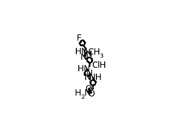 Cl.Cn1c(NCc2ccc(F)cc2)nc2cc(CNc3ccnc(Nc4ccc(CS(N)(=O)=O)cc4)n3)ccc21